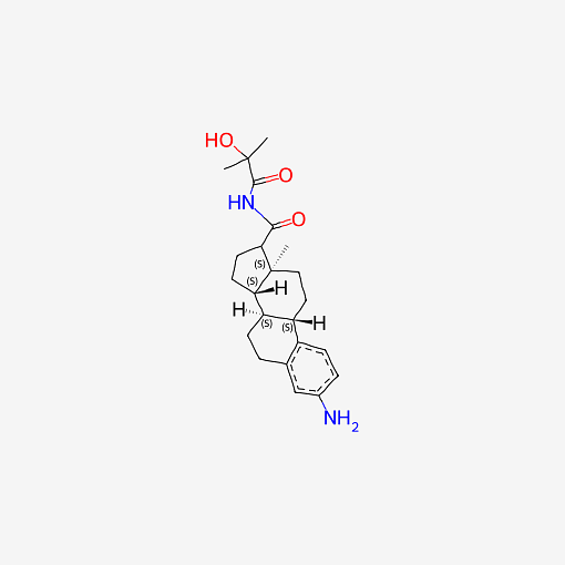 CC(C)(O)C(=O)NC(=O)C1CC[C@H]2[C@@H]3CCc4cc(N)ccc4[C@H]3CC[C@]12C